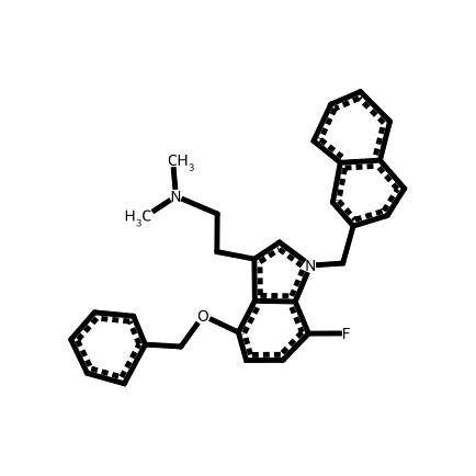 CN(C)CCc1cn(Cc2ccc3ccccc3c2)c2c(F)ccc(OCc3ccccc3)c12